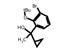 CC(C)(C)Oc1c(Br)cccc1C(C)(O)C1CC1